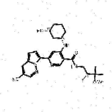 COC(C)(C)[C@H](F)CNC(=O)c1cnc(-c2ccc3cc(C#N)cnn23)cc1N[C@H]1CCC[C@@H](O)C1